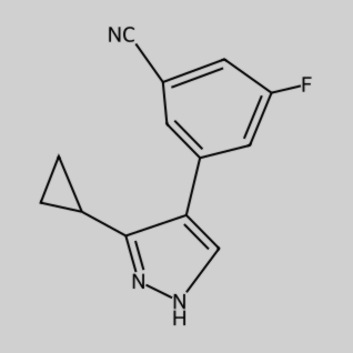 N#Cc1cc(F)cc(-c2c[nH]nc2C2CC2)c1